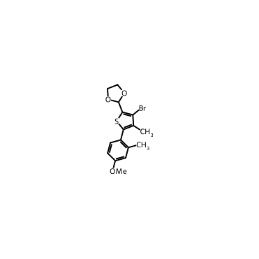 COc1ccc(-c2sc(C3OCCO3)c(Br)c2C)c(C)c1